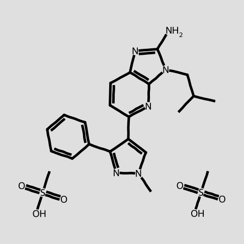 CC(C)Cn1c(N)nc2ccc(-c3cn(C)nc3-c3ccccc3)nc21.CS(=O)(=O)O.CS(=O)(=O)O